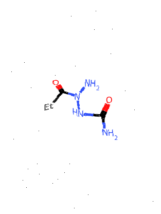 CCC(=O)N(N)NC(N)=O